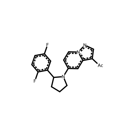 CC(=O)c1cnn2ccc(N3CCCC3c3cc(F)ccc3F)cc12